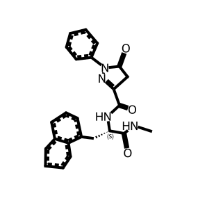 CNC(=O)[C@H](Cc1cccc2ccccc12)NC(=O)C1=NN(c2ccccc2)C(=O)C1